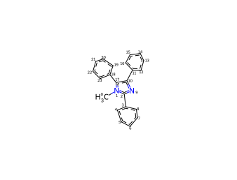 Cn1c(-c2ccccc2)nc(-c2ccccc2)c1-c1ccccc1